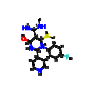 CNC(=N)c1c(SC)n(-c2ccc(F)cc2)c(-c2ccncc2)nc1=O